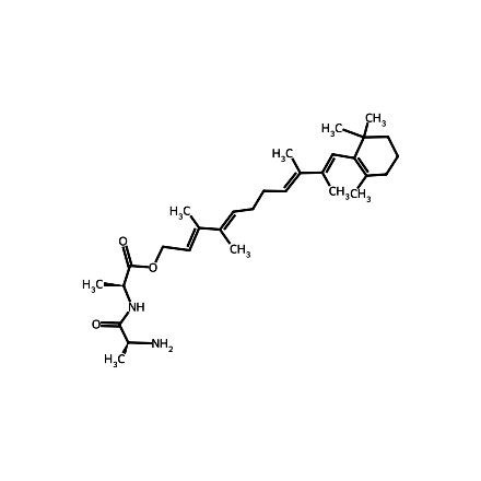 CC1=C(/C=C(C)/C(C)=C/CC/C=C(C)/C(C)=C/COC(=O)[C@H](C)NC(=O)[C@H](C)N)C(C)(C)CCC1